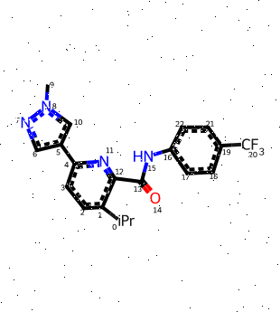 CC(C)c1ccc(-c2cnn(C)c2)nc1C(=O)Nc1ccc(C(F)(F)F)cc1